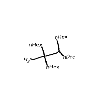 CCCCCCCCCCC(CCCCCC)C(P)(CCCCCC)CCCCCC